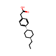 CCC[C@H]1CC[C@H](c2ccc(CC(=O)O)cc2)CC1